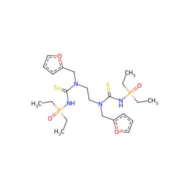 CCP(=O)(CC)NC(=S)N(CCN(Cc1ccco1)C(=S)NP(=O)(CC)CC)Cc1ccco1